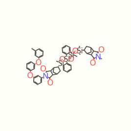 Cc1cccc(Oc2cccc(Oc3cccc(N4C(=O)C5C6CC(C5C4=O)C([Si](C)(C)O[Si](O[Si](C)(C)O[Si](C)(C)C4CC5CC4C4C(=O)N(C)C(=O)C54)(c4ccccc4)c4ccccc4)C6)c3)c2)c1